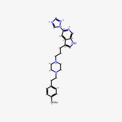 CC(=O)Nc1ccc(CCN2CCN(CCCc3c[nH]c4cnc(-n5cncn5)cc34)CC2)cc1